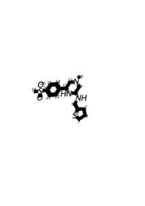 CN1CC(NCC2CCCS2)NC(c2ccc(S(C)(=O)=O)cc2)C1